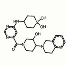 O=C(c1cc(NC2CCS(O)(O)CC2)ncn1)N1CCC(N2CCc3ccccc3C2)C(O)C1